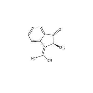 C[C@@H]1C(=O)c2ccccc2C1=C(C#N)C#N